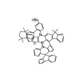 CCCCc1ccc(N2c3cc4c(c5c3B(c3sc6cc7c(cc6c32)C(C)(C)CCC7(C)C)N2c3ccccc3C3(c6ccccc6-c6ccccc63)c3cccc-5c32)-c2ccccc2C4(C)C)c(-c2ccccc2)c1